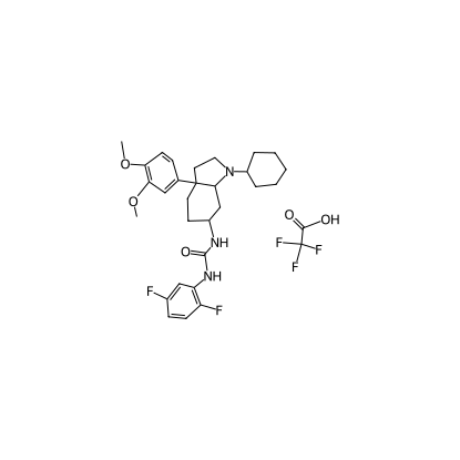 COc1ccc(C23CCC(NC(=O)Nc4cc(F)ccc4F)CC2N(C2CCCCC2)CC3)cc1OC.O=C(O)C(F)(F)F